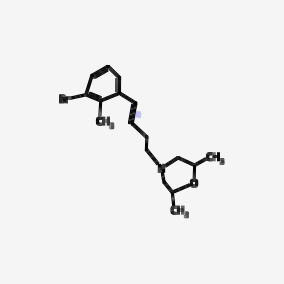 Cc1c(Br)cccc1/C=C/CCN1CC(C)OC(C)C1